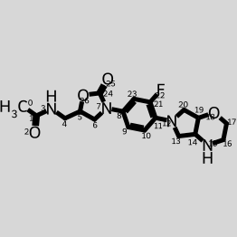 CC(=O)NCC1CN(c2ccc(N3CC4NCCOC4C3)c(F)c2)C(=O)O1